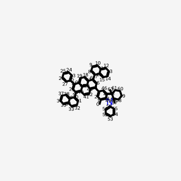 Cc1cc(-c2cc(-c3cccc4ccccc34)c3ccc4c(-c5ccccc5)cc(-c5cccc6ccccc56)c5ccc2c3c45)cc2c1N(c1ccccc1)C1(C)CCCCC21C